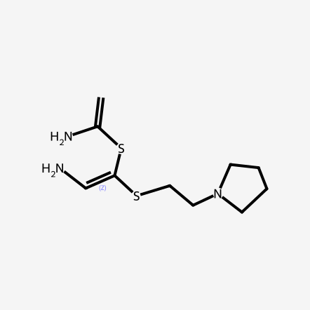 C=C(N)S/C(=C\N)SCCN1CCCC1